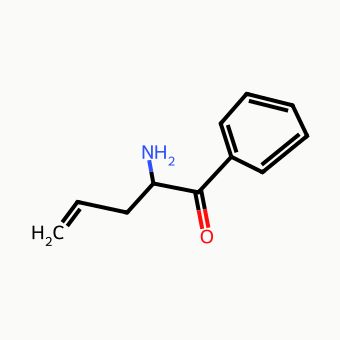 C=CCC(N)C(=O)c1ccccc1